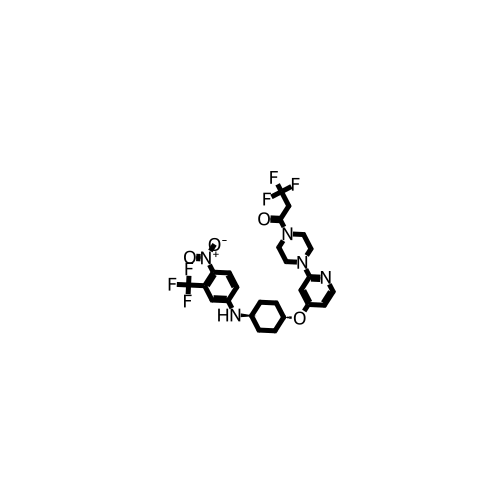 O=C(CC(F)(F)F)N1CCN(c2cc(O[C@H]3CC[C@H](Nc4ccc([N+](=O)[O-])c(C(F)(F)F)c4)CC3)ccn2)CC1